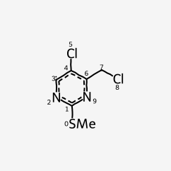 CSc1n[c]c(Cl)c(CCl)n1